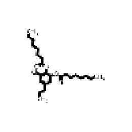 C=CCc1cc(Cl)c(OC(=O)CCCCCCC)c(OC(=O)CCCCCCC)c1